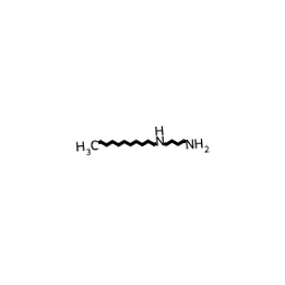 CCCCCCCCCCCNCCCCN